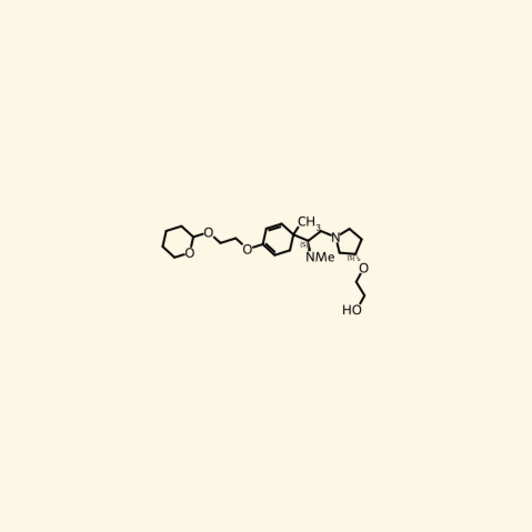 CN[C@H](CN1CC[C@H](OCCO)C1)C1(C)C=CC(OCCOC2CCCCO2)=CC1